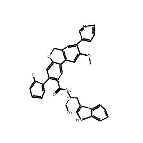 COc1cc2c(cc1-c1cccnc1)COc1cc(-c3ccccc3F)c(C(=O)N[C@@H](CO)Cc3c[nH]c4ccccc34)cc1-2